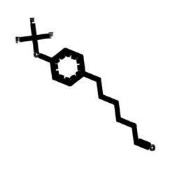 O=CCCCCCc1ccc(OC(F)(F)F)cc1